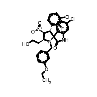 CCOc1cccc(CN2[C@@H](CCO)[C@@H]([N+](=O)[O-])[C@H](c3cccc(Cl)c3F)[C@]23C(=O)Nc2cc(Cl)ccc23)c1